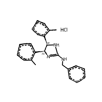 Cc1ccccc1[C@H]1NC(NCc2ccccc2)=N[C@H]1c1ccccc1C.Cl